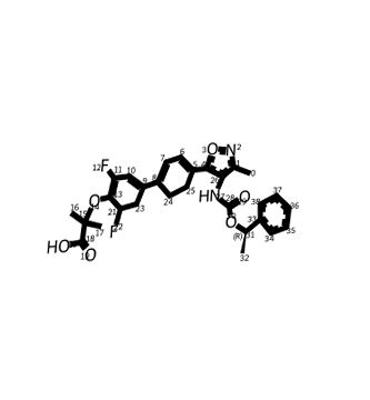 Cc1noc(C2=CC=C(C3=CC(F)=C(OC(C)(C)C(=O)O)C(F)C3)CC2)c1NC(=O)O[C@H](C)c1ccccc1